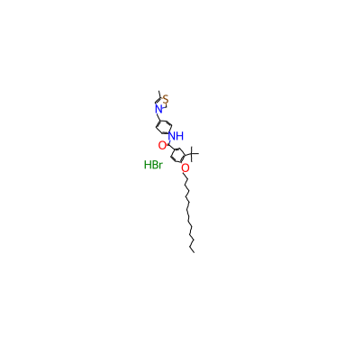 Br.CCCCCCCCCCCCCCOc1ccc(C(=O)Nc2ccc(CN3C=C(C)SC3)cc2)cc1C(C)(C)C